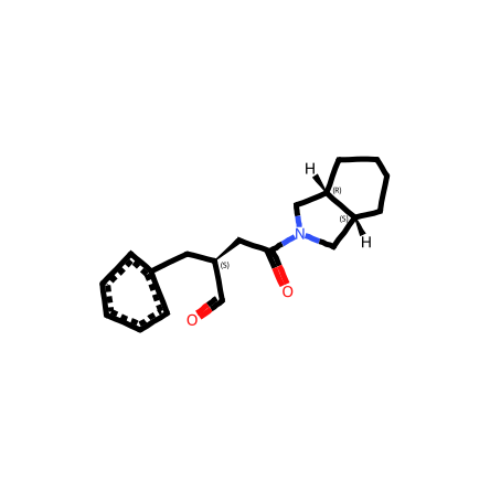 O=C[C@H](CC(=O)N1C[C@H]2CCCC[C@H]2C1)Cc1ccccc1